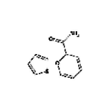 NC(=O)C1C=CC=CO1.c1ccsc1